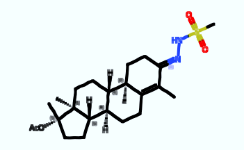 CC(=O)O[C@@]1(C)CC[C@H]2[C@@H]3CCC4=C(C)/C(=N/NS(C)(=O)=O)CC[C@]4(C)[C@H]3CC[C@@]21C